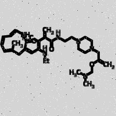 C=C(CN1CCN(CCNC(=O)C(=C)/C(C)=C(/C=C2/C/C(C)=C/C=C\C=C\NC2=O)NCC)CC1)OCN(C)C